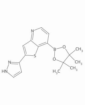 CC1(C)OB(c2ccnc3cc(-c4cc[nH]n4)sc23)OC1(C)C